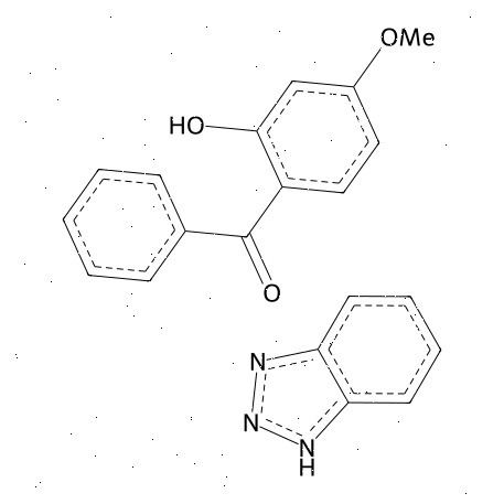 COc1ccc(C(=O)c2ccccc2)c(O)c1.c1ccc2[nH]nnc2c1